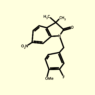 COc1ccc(CN2C(=O)C(C)(C)c3ccc([N+](=O)[O-])cc32)cc1F